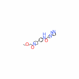 CCOCCC(=O)N1CCC(c2ccc(NC(=O)C3CN(c4cccnn4)C3)cc2)CC1